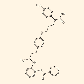 CCCCC(=O)N(CCCOc1ccc(CCC(Nc2ccccc2OC(=O)c2ccccc2)C(=O)O)cc1)c1ccc(C)cc1